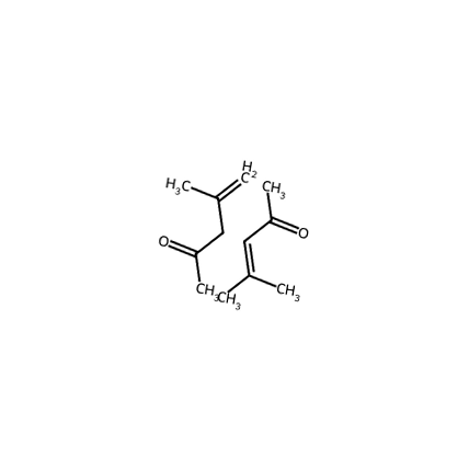 C=C(C)CC(C)=O.CC(=O)C=C(C)C